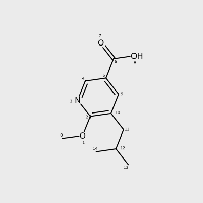 COc1ncc(C(=O)O)cc1CC(C)C